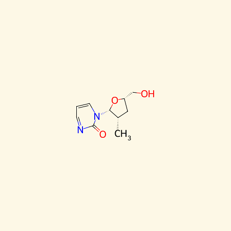 C[C@H]1C[C@@H](CO)O[C@H]1n1cccnc1=O